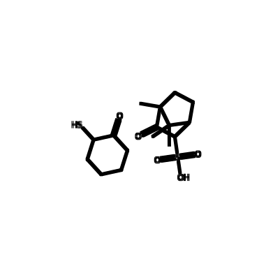 CC12CCC(C(S(=O)(=O)O)C1=O)C2(C)C.O=C1CCCCC1S